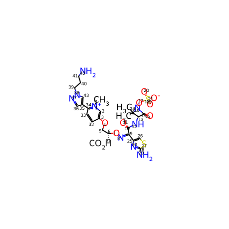 C[n+]1cc(OC[C@H](O/N=C(\C(=O)N[C@@H]2C(=O)N(OS(=O)(=O)[O-])C2(C)C)c2csc(N)n2)C(=O)O)ccc1-c1cnn(CCCN)c1